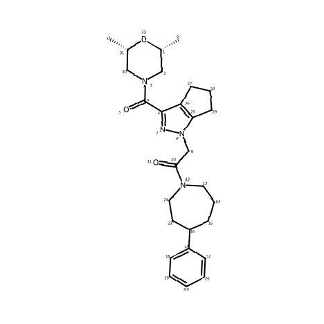 C[C@@H]1CN(C(=O)c2nn(CC(=O)N3CCCC(c4ccccc4)CC3)c3c2CCC3)C[C@H](C)O1